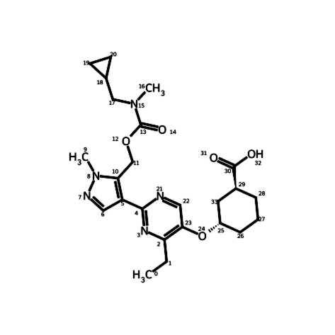 CCc1nc(-c2cnn(C)c2COC(=O)N(C)CC2CC2)ncc1O[C@H]1CCC[C@H](C(=O)O)C1